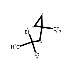 CCC(C)(CC)CC1(C(F)(F)F)CC1